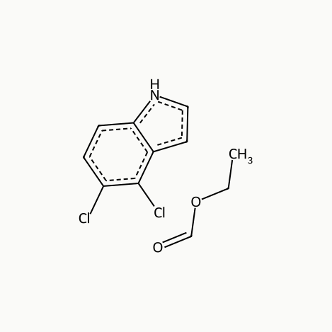 CCOC=O.Clc1ccc2[nH]ccc2c1Cl